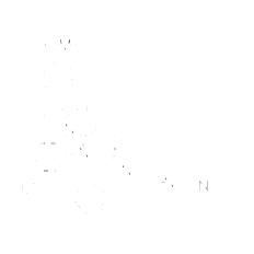 CCN1CCN([C@H]2CCN(C(=O)C(c3ccccc3)n3c(=O)n(S(=O)(=O)c4ccc(OC)cc4)c4ccc(Cl)cc43)C2)CC1